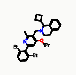 CCc1cccc(CC)c1-c1cc(OC(C)C)c(CN2CCc3ccccc3C2C2CCC2)c(C)n1